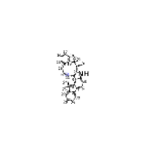 C=C1c2[nH]c3ccc4c(c3c2/C=C\Cc2ccccc2C1(C)C)C(C)(C)c1ccccc1-4